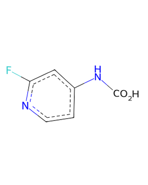 O=C(O)Nc1ccnc(F)c1